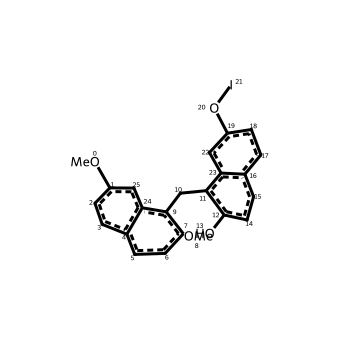 COc1ccc2ccc(OC)c(Cc3c(O)ccc4ccc(OI)cc34)c2c1